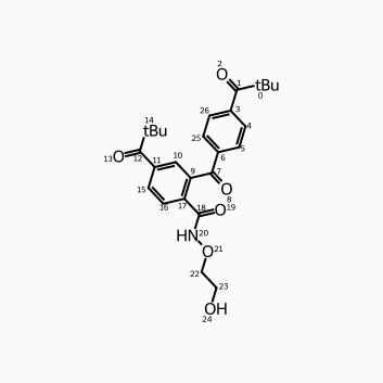 CC(C)(C)C(=O)c1ccc(C(=O)c2cc(C(=O)C(C)(C)C)ccc2C(=O)NOCCO)cc1